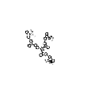 CC1(C)c2ccccc2-c2ccc(-c3ccc4c(c3)c3ccccc3n4-c3ccc4cc(-c5nc(-n6c7ccccc7c7cc(-c8ccc9c(c8)C(C)(C)c8ccccc8-9)ccc76)nc(-n6c7ccccc7c7cc(-c8ccc9c(c8)C(C)(C)c8ccccc8-9)ccc76)n5)ccc4c3)cc21